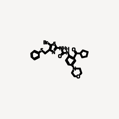 O=C(Nc1nc(CSc2ccccc2)c(Br)s1)Nc1ccc(N2CCOCC2)cc1C(=O)C1CCCC1